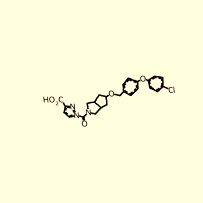 O=C(O)c1ccn(C(=O)N2CC3CC(OCc4ccc(Oc5ccc(Cl)cc5)cc4)CC3C2)n1